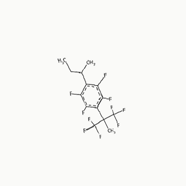 CCC(C)c1c(F)c(F)c(C(C)(C(F)(F)F)C(F)(F)F)c(F)c1F